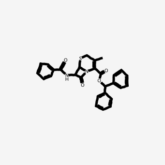 CC1=C(C(=O)OC(c2ccccc2)c2ccccc2)N2C(=O)C(NC(=O)c3ccccc3)C2SC1